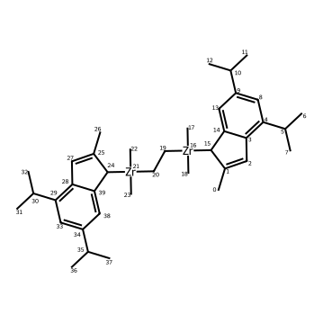 CC1=Cc2c(C(C)C)cc(C(C)C)cc2[CH]1[Zr]([CH3])([CH3])[CH2][CH2][Zr]([CH3])([CH3])[CH]1C(C)=Cc2c(C(C)C)cc(C(C)C)cc21